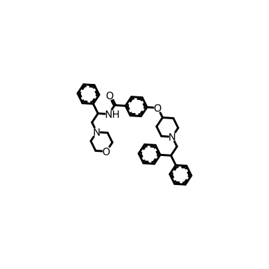 O=C(NC(CN1CCOCC1)c1ccccc1)c1ccc(OC2CCN(CC(c3ccccc3)c3ccccc3)CC2)cc1